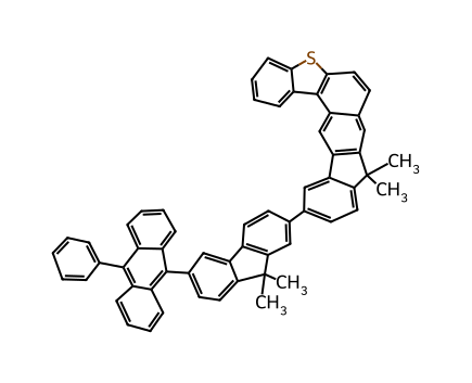 CC1(C)c2ccc(-c3c4ccccc4c(-c4ccccc4)c4ccccc34)cc2-c2ccc(-c3ccc4c(c3)-c3cc5c(ccc6sc7ccccc7c65)cc3C4(C)C)cc21